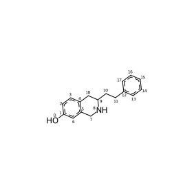 Oc1ccc2c(c1)CNC(CCc1ccccc1)C2